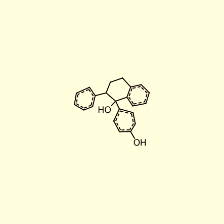 Oc1ccc(C2(O)c3ccccc3CCC2c2ccccc2)cc1